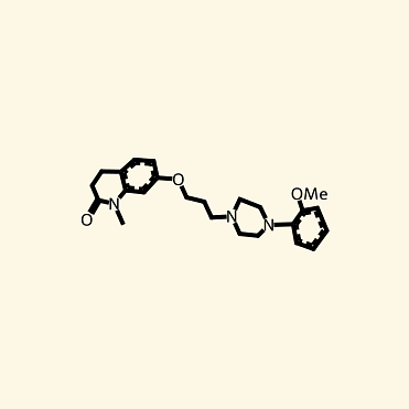 COc1ccccc1N1CCN(CCCOc2ccc3c(c2)N(C)C(=O)CC3)CC1